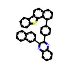 c1ccc2cc(-c3nc4ccccc4nc3-c3ccc(-c4cccc5ccc6c7ccccc7sc6c45)cc3)ccc2c1